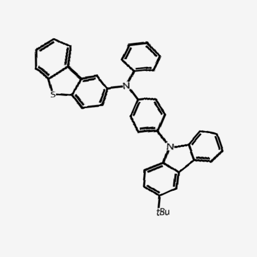 CC(C)(C)c1ccc2c(c1)c1ccccc1n2-c1ccc(N(c2ccccc2)c2ccc3sc4ccccc4c3c2)cc1